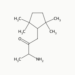 CC(N)C(=O)CC1C(C)(C)CCC1(C)C